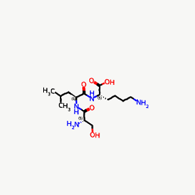 CC(C)C[C@H](NC(=O)[C@@H](N)CO)C(=O)N[C@@H](CCCCN)C(=O)O